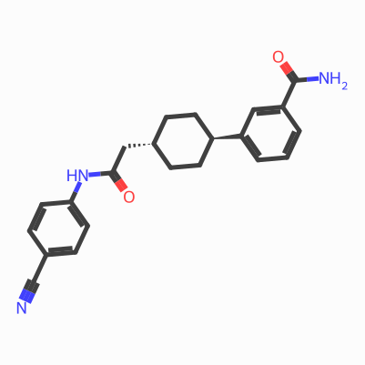 N#Cc1ccc(NC(=O)C[C@H]2CC[C@H](c3cccc(C(N)=O)c3)CC2)cc1